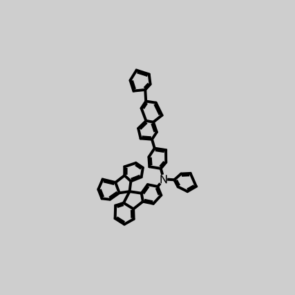 c1ccc(-c2ccc3cc(-c4ccc(N(c5ccccc5)c5ccc6c(c5)C5(c7ccccc7-c7ccccc75)c5ccccc5-6)cc4)ccc3c2)cc1